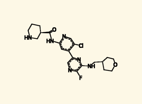 O=C(Nc1cc(-c2cnc(F)c(NCC3CCOCC3)n2)c(Cl)cn1)[C@@H]1CCCNC1